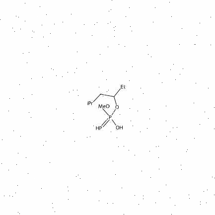 CCC(CC(C)C)OP(O)(=P)OC